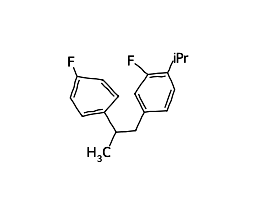 CC(C)c1ccc(CC(C)c2ccc(F)cc2)cc1F